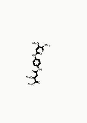 COC(=O)/C(=C/C(=O)Nc1ccc(NC(=O)/C=C(/OC)C(=O)OC)cc1)OC